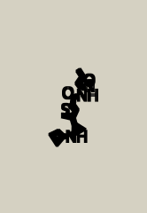 Cc1cc(NC(=O)c2cc(C3CC3NC3CCC3)cs2)no1